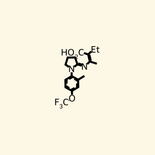 CCC(C(=O)O)=C(C)N=C1CCCN1c1ccc(OC(F)(F)F)cc1C